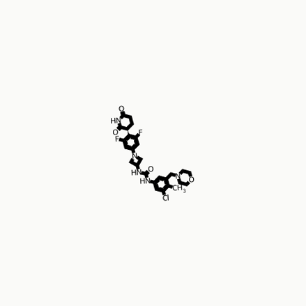 Cc1c(Cl)cc(NC(=O)NC2CN(c3cc(F)c([C@H]4CCC(=O)NC4=O)c(F)c3)C2)cc1CN1CCOCC1